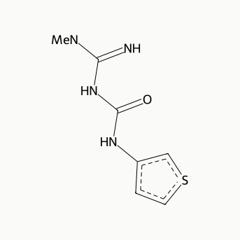 CNC(=N)NC(=O)Nc1ccsc1